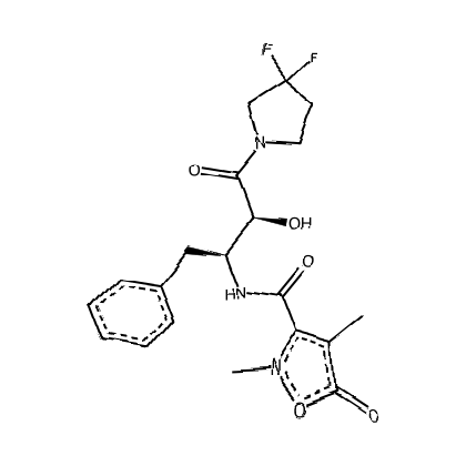 Cc1c(C(=O)N[C@@H](Cc2ccccc2)[C@H](O)C(=O)N2CCC(F)(F)C2)n(C)oc1=O